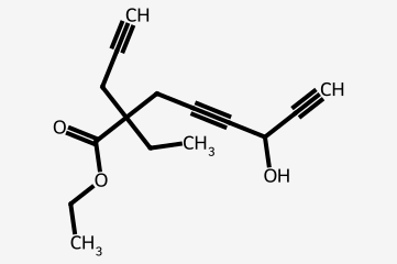 C#CCC(CC)(CC#CC(O)C#C)C(=O)OCC